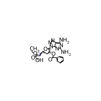 CCOP(=O)(O)/C=C/[C@@H]1C[C@@H](OC(=O)c2ccccc2)[C@H](n2nnc3c(N)nc(N)nc32)O1